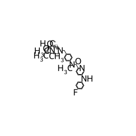 C[C@H]1CN(Cc2ccc(N(C)C(=O)c3ccc(Nc4ccc(F)cc4)cn3)cc2)CC[N+]1(C(=O)[O-])C(C)(C)C